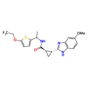 COc1ccc2[nH]c([C@@H]3C[C@H]3C(=O)NC(C)c3ccc(OCC(F)(F)F)s3)nc2c1